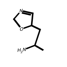 CC(N)CC1C=NCO1